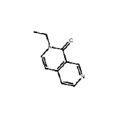 CCn1ccc2ccncc2c1=O